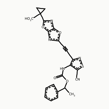 CC(OC(=O)Nc1c(C#Cc2nc3oc(C4(C(=O)O)CC4)nc3o2)nsc1C#N)c1ccccc1